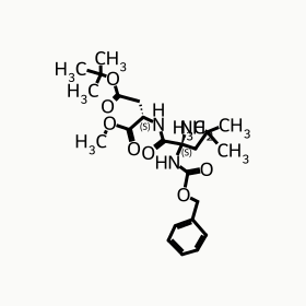 COC(=O)[C@H](CC(=O)OC(C)(C)C)NC(=O)[C@](N)(CC(C)(C)C)NC(=O)OCc1ccccc1